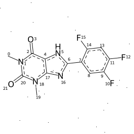 Cn1c(=O)c2[nH]c(-c3cc(F)c(F)cc3F)nc2n(C)c1=O